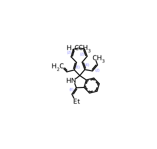 C=C/C(=C\C=C/C)C1(C(/C=C\C)=C/C=C\C)N/C(=C/CC)c2ccccc21